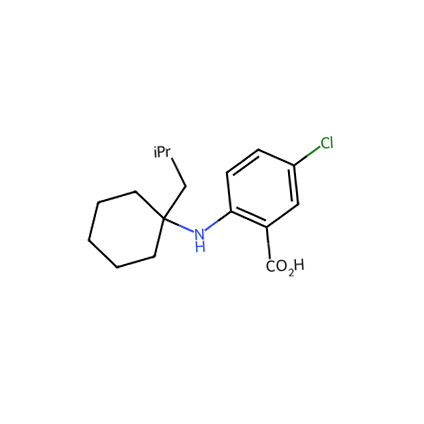 CC(C)CC1(Nc2ccc(Cl)cc2C(=O)O)CCCCC1